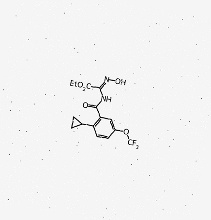 CCOC(=O)/C(=N/O)NC(=O)c1cc(OC(F)(F)F)ccc1C1CC1